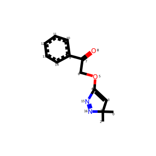 CC1(C)C=C(OCC(=O)c2ccccc2)N=N1